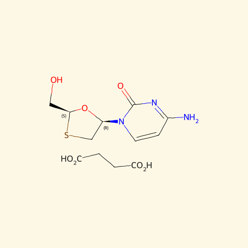 Nc1ccn([C@H]2CS[C@@H](CO)O2)c(=O)n1.O=C(O)CCC(=O)O